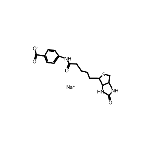 O=C(CCCCC1SCC2NC(=O)NC21)Nc1ccc(C(=O)[O-])cc1.[Na+]